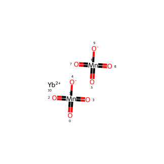 [O]=[Mn](=[O])(=[O])[O-].[O]=[Mn](=[O])(=[O])[O-].[Yb+2]